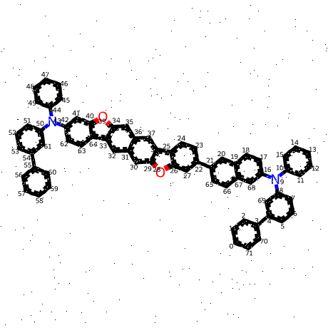 c1ccc(-c2cccc(N(c3ccccc3)c3ccc4cc(-c5ccc6c(c5)oc5cc7cc8c(cc7cc56)oc5cc(N(c6ccccc6)c6cccc(-c7ccccc7)c6)ccc58)ccc4c3)c2)cc1